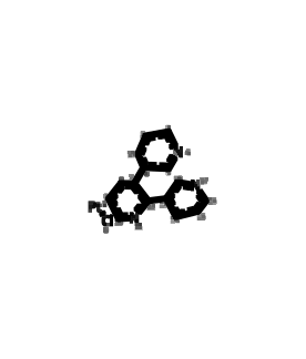 [Cl][Pt].c1cncc(-c2cccnc2-c2cccnc2)c1